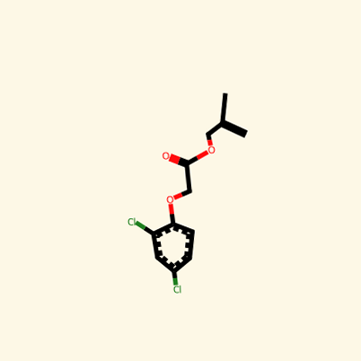 C=C(C)COC(=O)COc1ccc(Cl)cc1Cl